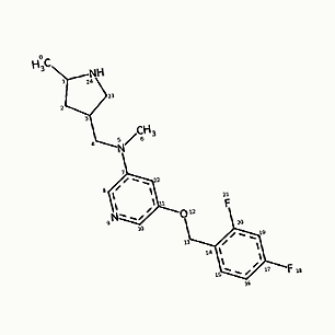 CC1CC(CN(C)c2cncc(OCc3ccc(F)cc3F)c2)CN1